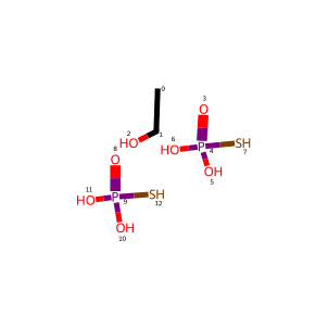 CCO.O=P(O)(O)S.O=P(O)(O)S